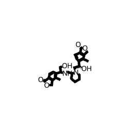 Cc1c(C(CO)NCC2CCCCN2C[C@H](O)c2ccc3c(c2C)COC3=O)ccc2c1COC2=O